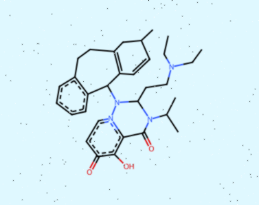 CCN(CC)CCC1N(C(C)C)C(=O)c2c(O)c(=O)ccn2N1C1C2=C(CCc3ccccc31)CC(C)C=C2